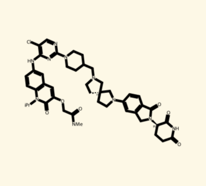 CNC(=O)COc1cc2cc(Nc3nc(N4CCC(CN5CC[C@]6(CCN(c7ccc8c(c7)CN([C@@H]7CCC(=O)NC7=O)C8=O)C6)C5)CC4)ncc3Cl)ccc2n(C(C)C)c1=O